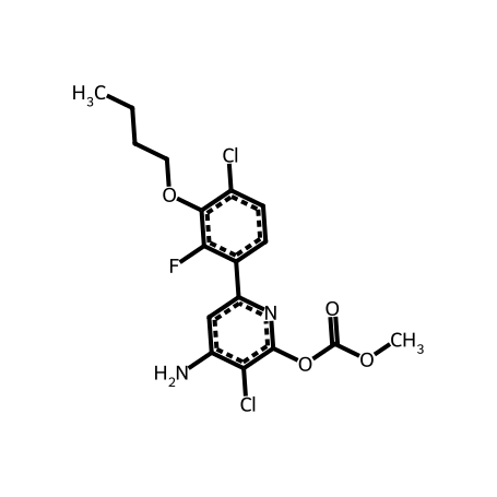 CCCCOc1c(Cl)ccc(-c2cc(N)c(Cl)c(OC(=O)OC)n2)c1F